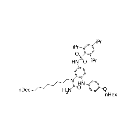 CCCCCCCCCCCCCCCCCCN(C(N)=O)c1cc(NS(=O)(=O)c2c(C(C)C)cc(C(C)C)cc2C(C)C)ccc1Nc1ccc(OCCCCCC)cc1